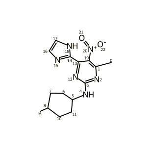 Cc1nc(NC2CCC(C)CC2)nc(-c2ncc[nH]2)c1[N+](=O)[O-]